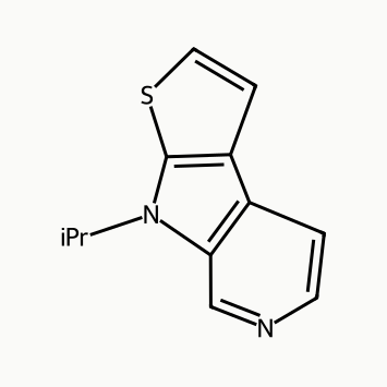 CC(C)n1c2cnccc2c2ccsc21